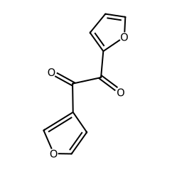 O=C(C(=O)c1ccco1)c1ccoc1